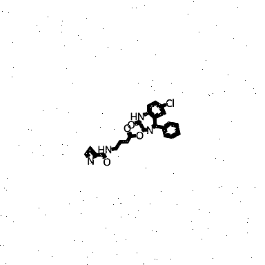 O=C(CCCNC(=O)C1=CC=N1)OC1N=C(c2ccccc2)c2cc(Cl)ccc2NC1=O